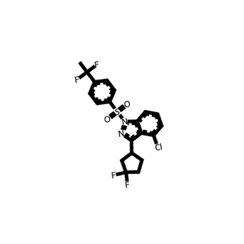 CC(F)(F)c1ccc(S(=O)(=O)n2nc(C3CCC(F)(F)C3)c3c(Cl)cccc32)cc1